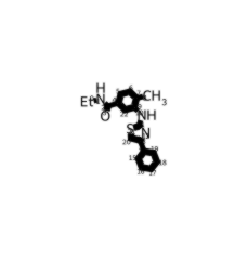 CCNC(=O)c1ccc(C)c(Nc2nc(-c3ccccc3)cs2)c1